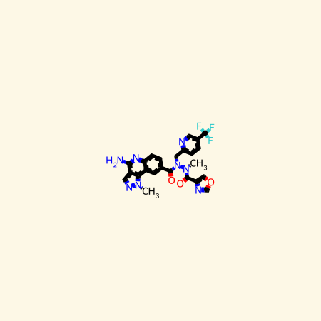 CN(C(=O)c1cocn1)N(Cc1ccc(C(F)(F)F)cn1)C(=O)c1ccc2nc(N)c3cnn(C)c3c2c1